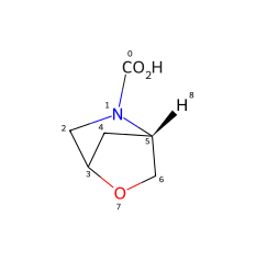 O=C(O)N1CC2C[C@H]1CO2